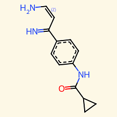 N=C(/C=C\N)c1ccc(NC(=O)C2CC2)cc1